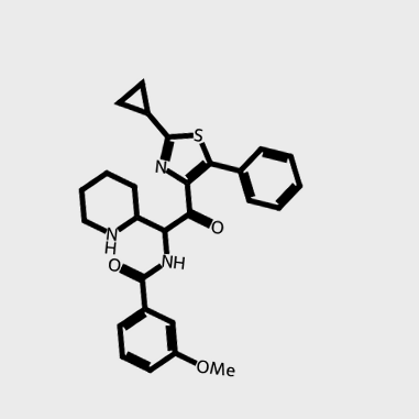 COc1cccc(C(=O)NC(C(=O)c2nc(C3CC3)sc2-c2ccccc2)C2CCCCN2)c1